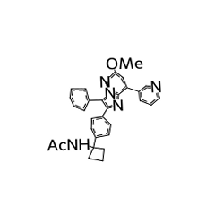 COc1cc(-c2cccnc2)c2nc(-c3ccc(C4(NC(C)=O)CCC4)cc3)c(-c3ccccc3)n2n1